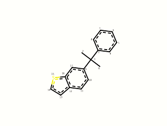 CC(C)(c1ccccc1)c1ccc2ccsc2c1